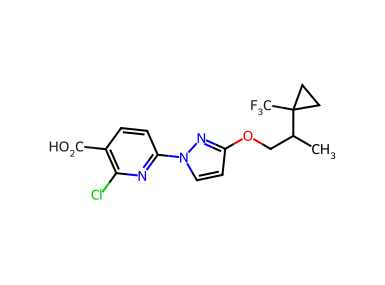 CC(COc1ccn(-c2ccc(C(=O)O)c(Cl)n2)n1)C1(C(F)(F)F)CC1